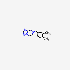 Cc1ccc(CN2CCn3ncnc3C2)cc1C